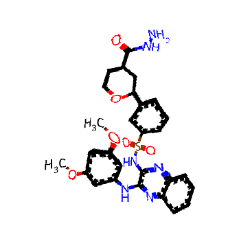 COc1cc(Nc2nc3ccccc3nc2NS(=O)(=O)c2cccc(C3CC(C(=O)NN)CCO3)c2)cc(OC)c1